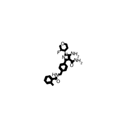 Cc1ccccc1C(=O)NCc1ccc(-c2nn([C@H]3CCOC[C@@H]3F)c(N)c2C(N)=O)cc1